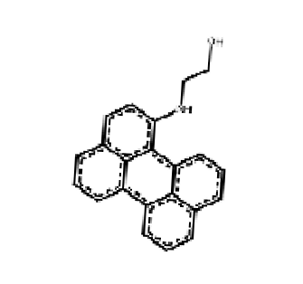 OCCNc1ccc2cccc3c4cccc5cccc(c1c23)c54